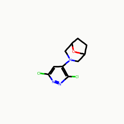 Clc1cc(N2CC3CCC(C2)O3)c(Cl)nn1